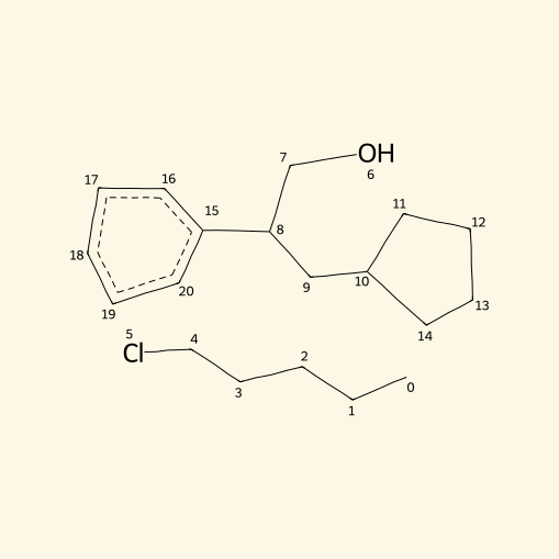 CCCCCCl.OCC(CC1CCCC1)c1ccccc1